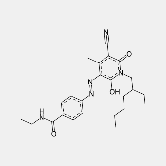 CCCCC(CC)Cn1c(O)c(/N=N/c2ccc(C(=O)NCC)cc2)c(C)c(C#N)c1=O